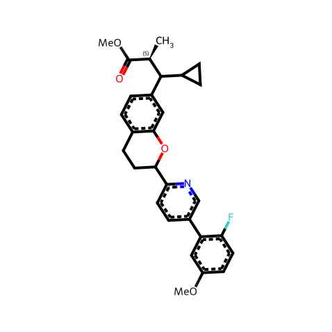 COC(=O)[C@@H](C)C(c1ccc2c(c1)OC(c1ccc(-c3cc(OC)ccc3F)cn1)CC2)C1CC1